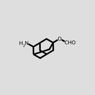 NC1C2CC3CC1CC(OC=O)(C3)C2